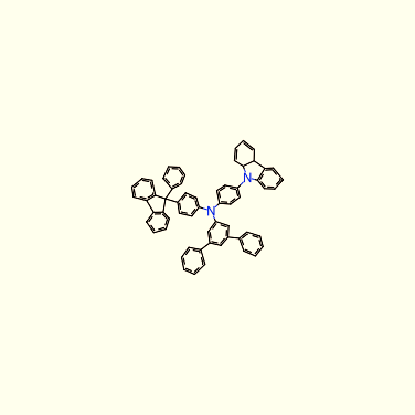 C1=CC2c3ccccc3N(c3ccc(N(c4ccc(C5(c6ccccc6)c6ccccc6-c6ccccc65)cc4)c4cc(-c5ccccc5)cc(-c5ccccc5)c4)cc3)C2C=C1